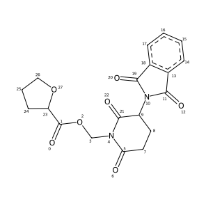 O=C(OCN1C(=O)CCC(N2C(=O)c3ccccc3C2=O)C1=O)C1CCCO1